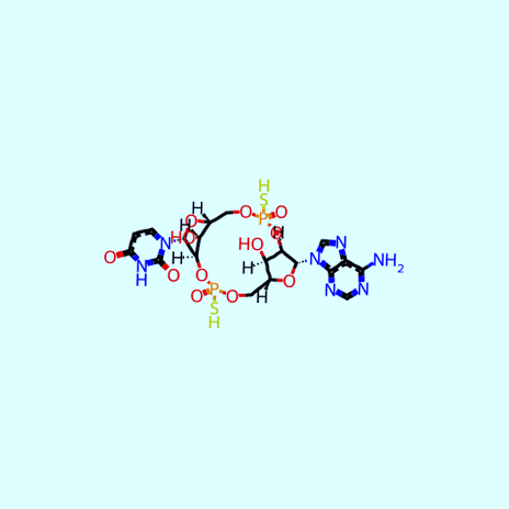 Nc1ncnc2c1ncn2[C@@H]1O[C@@H]2COP(=O)(S)O[C@@H]3[C@H](O)[C@@H](COP(=O)(S)O[C@@H]1[C@@H]2O)O[C@H]3n1ccc(=O)[nH]c1=O